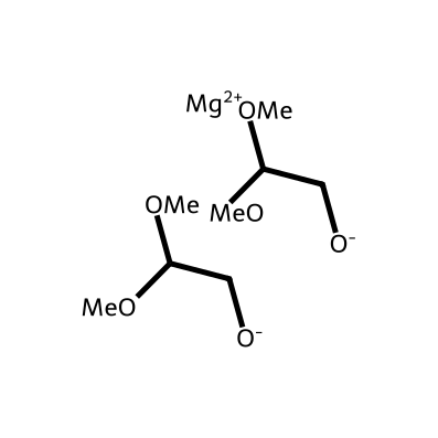 COC(C[O-])OC.COC(C[O-])OC.[Mg+2]